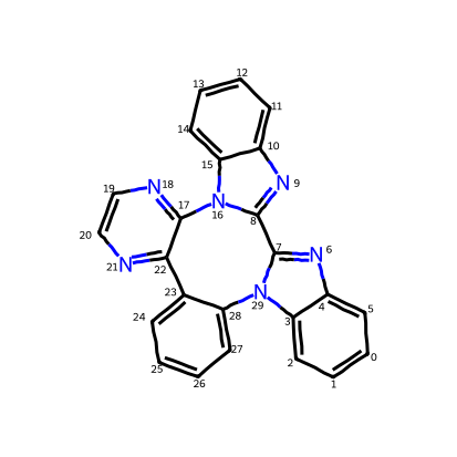 c1ccc2c(c1)nc1c3nc4ccccc4n3c3nccnc3c3ccccc3n21